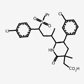 CC(CC(c1ccc(Cl)cc1)S(=O)(=O)C(C)C)C1NC(=O)C(C)(CC(=O)O)CC1c1cccc(Cl)c1